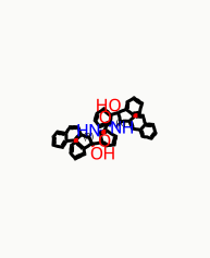 O=C(N[C@H](c1ccc2ccccc2c1)C(O)(c1ccccc1)c1ccccc1)C(=O)N[C@H](c1ccc2ccccc2c1)C(O)(c1ccccc1)c1ccccc1